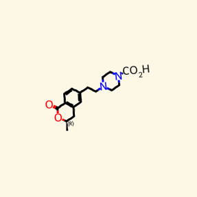 C[C@@H]1Cc2cc(CCN3CCN(C(=O)O)CC3)ccc2C(=O)O1